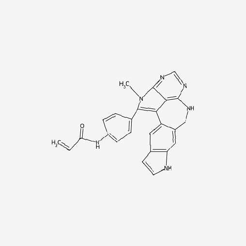 C=CC(=O)Nc1ccc(-c2c3c4c(ncnc4n2C)NCc2cc4[nH]ccc4cc2-3)cc1